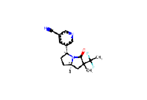 CC(F)(F)C1(C)C[C@H]2CC[C@H](c3cncc(C#N)c3)N2C1=O